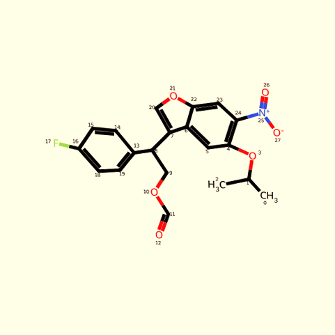 CC(C)Oc1cc2c(C(COC=O)c3ccc(F)cc3)coc2cc1[N+](=O)[O-]